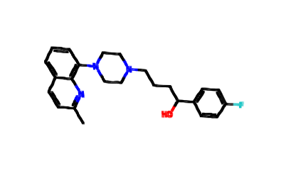 Cc1ccc2cccc(N3CCN(CCCC(O)c4ccc(F)cc4)CC3)c2n1